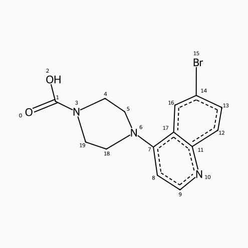 O=C(O)N1CCN(c2ccnc3ccc(Br)cc23)CC1